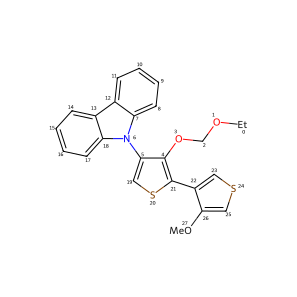 CCOCOc1c(-n2c3ccccc3c3ccccc32)csc1-c1cscc1OC